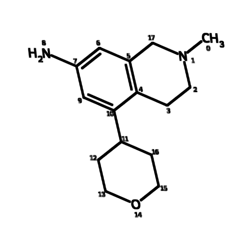 CN1CCc2c(cc(N)cc2C2CCOCC2)C1